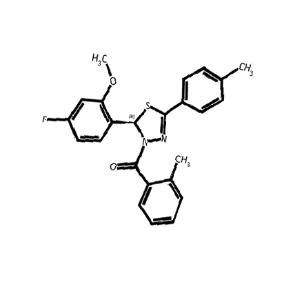 COc1cc(F)ccc1[C@H]1SC(c2ccc(C)cc2)=NN1C(=O)c1ccccc1C